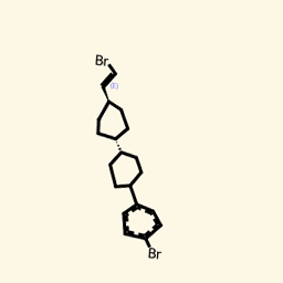 Br/C=C/[C@H]1CC[C@H](C2CCC(c3ccc(Br)cc3)CC2)CC1